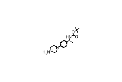 C[C@H](NC(=O)OC(C)(C)C)c1ccc(N2CCN(N)CC2)cc1